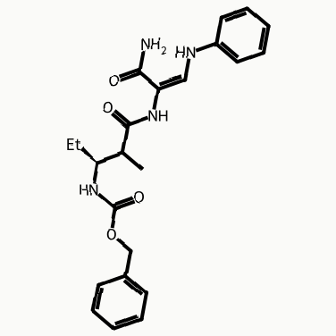 CC[C@H](NC(=O)OCc1ccccc1)C(C)C(=O)NC(=CNc1ccccc1)C(N)=O